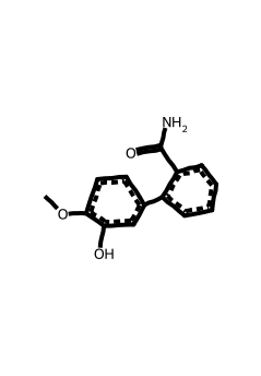 COc1ccc(-c2ccccc2C(N)=O)cc1O